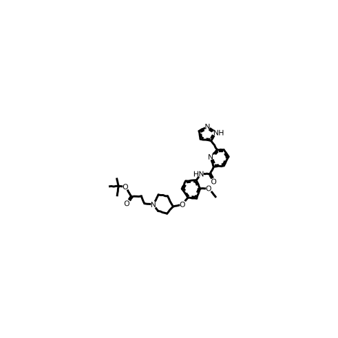 COc1cc(OC2CCN(CCC(=O)OC(C)(C)C)CC2)ccc1NC(=O)c1cccc(-c2ccn[nH]2)n1